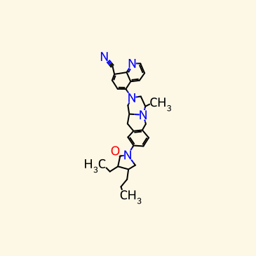 CCCC1CN(c2ccc3c(c2)CC2CN(c4ccc(C#N)c5ncccc45)CC(C)N2C3)C(=O)C1CC